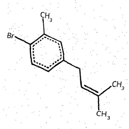 CC(C)=CCc1ccc(Br)c(C)c1